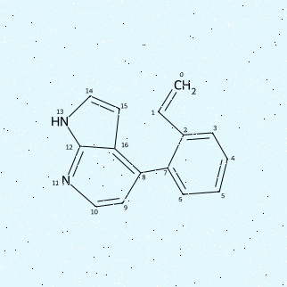 C=Cc1ccccc1-c1ccnc2[nH]ccc12